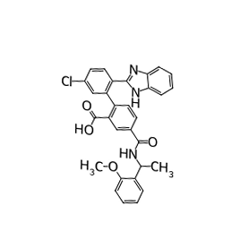 COc1ccccc1C(C)NC(=O)c1ccc(-c2cc(Cl)ccc2-c2nc3ccccc3[nH]2)c(C(=O)O)c1